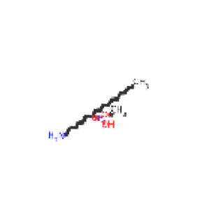 CCCCCCCCCCCCCCCCCCN.CCO[PH](=O)O